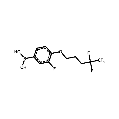 OB(O)c1ccc(OCCCC(F)(F)C(F)(F)F)c(F)c1